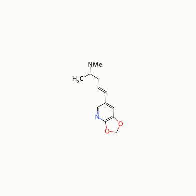 CNC(C)C/C=C/c1cnc2c(c1)OCO2